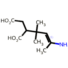 C/C(N)=C\C(C)(C)C(CC(=O)O)C(=O)O